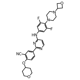 N#Cc1cc(-c2nccc(Nc3cc(F)c(N4CCN(C5COC5)CC4)c(F)c3)n2)ccc1OC1CCOCC1